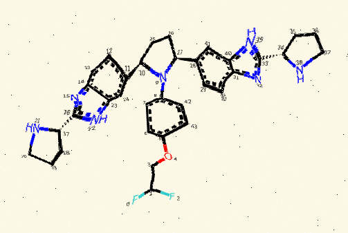 FC(F)COc1ccc(N2[C@@H](c3ccc4nc([C@@H]5CCCN5)[nH]c4c3)CC[C@H]2c2ccc3nc([C@@H]4CCCN4)[nH]c3c2)cc1